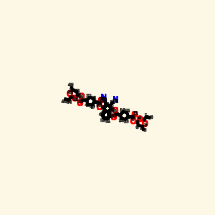 C=CC(=O)OC(CCC)OC(=O)C1CCC(C(=O)Oc2c(C#N)c(C#N)c(OC(=O)C3CCC(C(=O)OC(CCC)OC(=O)C=C)CC3)c3ccccc23)CC1